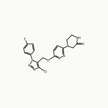 O=C1CN(c2ccc(OCc3c(Cl)nnn3-c3ccc(F)cc3)nn2)CCN1